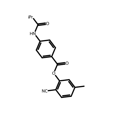 Cc1ccc(C#N)c(OC(=O)c2ccc(NC(=O)C(C)C)cc2)c1